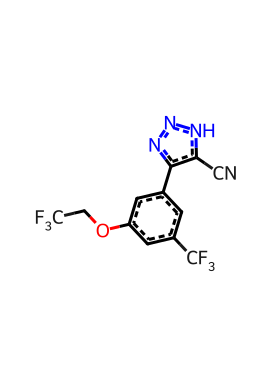 N#Cc1[nH]nnc1-c1cc(OCC(F)(F)F)cc(C(F)(F)F)c1